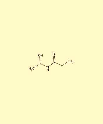 [CH2]CC(=O)NC(C)O